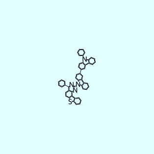 c1ccc(-c2nc(-n3c4ccccc4c4cc(-c5ccc6c(c5)c5ccccc5n6-c5ccccc5)ccc43)nc3c2ccc2sc4ccccc4c23)cc1